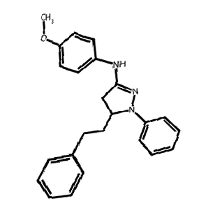 COc1ccc(NC2=NN(c3ccccc3)C(CCc3ccccc3)C2)cc1